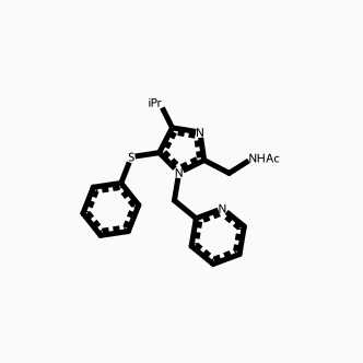 CC(=O)NCc1nc(C(C)C)c(Sc2ccccc2)n1Cc1ccccn1